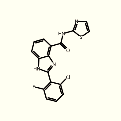 O=C(Nc1nccs1)c1cccc2[nH]c(-c3c(F)cccc3Cl)nc12